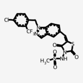 CS(=O)(=O)NN1C(=O)SC(=Cc2ccc3c(cnn3Cc3ccc(Cl)cc3C(F)(F)F)c2)C1=O